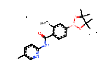 COc1cc(B2OC(C)(C)C(C)(C)O2)ccc1C(=O)Nc1ccc(C)cn1